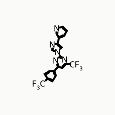 FC(F)(F)c1ccc(-c2cc(C(F)(F)F)nc(-n3cnc(-c4cccnc4)c3)n2)cc1